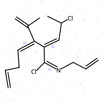 C=CC\C=C(C(=C)C)/C(=C\C(C)Cl)C(/Cl)=N\CC=C